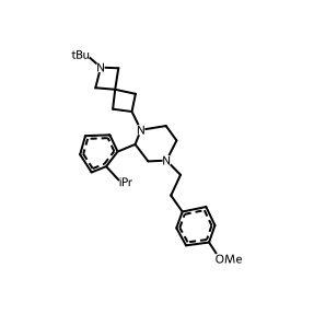 COc1ccc(CCN2CCN(C3CC4(C3)CN(C(C)(C)C)C4)C(c3ccccc3C(C)C)C2)cc1